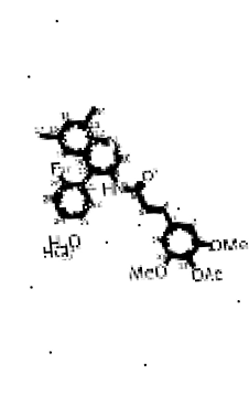 COc1cc(C=CC(=O)Nc2cnc3c(C)cc(C)cc3c2-c2ccccc2F)cc(OC)c1OC(C)=O.Cl.O